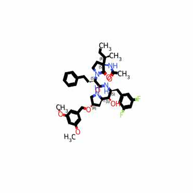 CC[C@@H](C)[C@@]1(NC(C)=O)CCN([C@@H](CCc2ccccc2)C(=O)N[C@@H](Cc2cc(F)cc(F)c2)[C@@H](O)[C@H]2C[C@@H](OCc3cc(OC)cc(OC)c3)CN2)C1=O